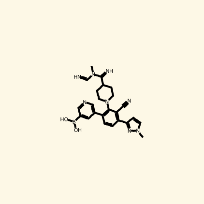 CN(C=N)C(=N)C1CCN(c2c(-c3cncc(B(O)O)c3)ccc(-c3ccn(C)n3)c2C#N)CC1